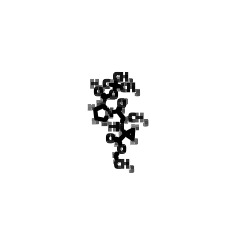 CCOC(=O)C1(N[C@@H](C)C(=O)N2CCC[C@H]2C(=O)OC(C)(C)C)CC1